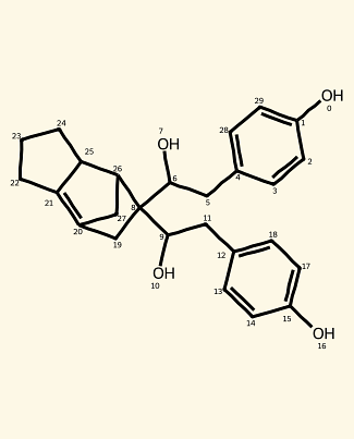 Oc1ccc(CC(O)C2(C(O)Cc3ccc(O)cc3)CC3=C4CCCC4C2C3)cc1